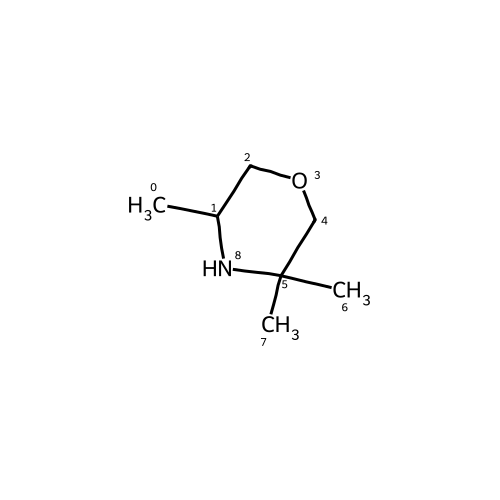 CC1COCC(C)(C)N1